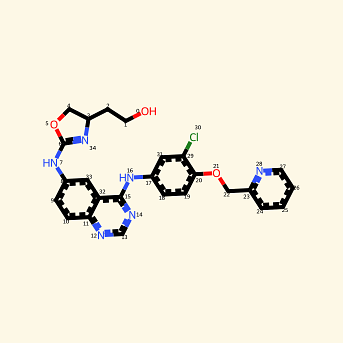 OCCC1COC(Nc2ccc3ncnc(Nc4ccc(OCc5ccccn5)c(Cl)c4)c3c2)=N1